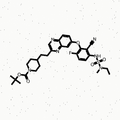 CCN(C)S(=O)(=O)Nc1ccc(F)c(Oc2ccc3ncc(CCC4CCN(C(=O)OC(C)(C)C)CC4)nc3c2)c1C#N